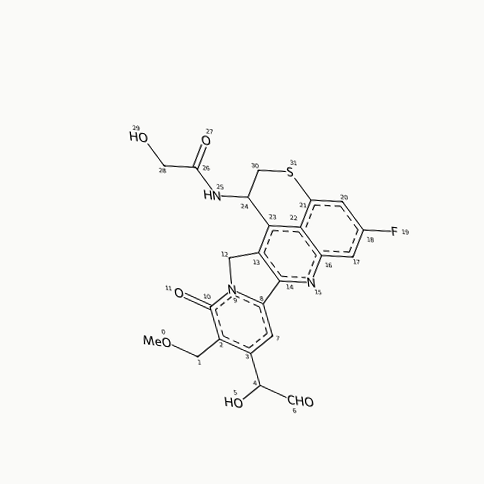 COCc1c(C(O)C=O)cc2n(c1=O)Cc1c-2nc2cc(F)cc3c2c1C(NC(=O)CO)CS3